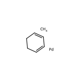 C.C1=CCCC=C1.[Pd]